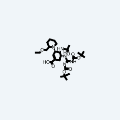 CCOCC1CCCCN1[C@@H]1C=C(C(=O)O)C[C@H](NC(=NC(=O)OC(C)(C)C)NC(=O)OC(C)(C)C)[C@H]1NC(C)=O